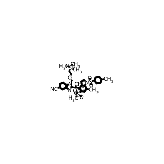 COC(C)(c1c(S(C)(=O)=O)cc(C)c2c1ccn2S(=O)(=O)c1ccc(C)cc1)c1nc2cc(C#N)ccc2n1COCC[Si](C)(C)C